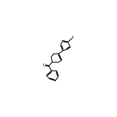 O=C(c1ccccc1)C1CC=C(c2ccc(F)cc2)CC1